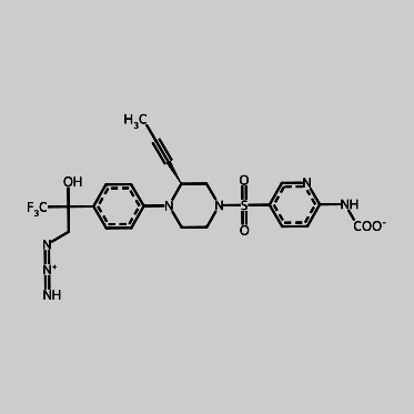 CC#C[C@H]1CN(S(=O)(=O)c2ccc(NC(=O)[O-])nc2)CCN1c1ccc(C(O)(CN=[N+]=N)C(F)(F)F)cc1